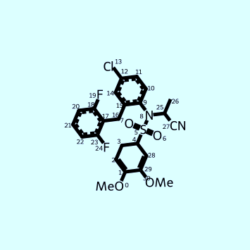 COC1=CCC(S(=O)(=O)N(c2ccc(Cl)cc2Cc2c(F)cccc2F)C(C)C#N)C=C1OC